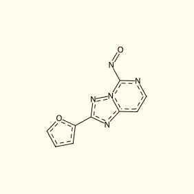 O=Nc1nccc2nc(-c3ccco3)nn12